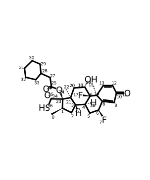 C[C@@H]1C[C@H]2[C@@H]3C[C@H](F)C4=CC(=O)C=C[C@]4(C)[C@@]3(F)[C@@H](O)C[C@]2(C)[C@@]1(OC(=O)CC1CCCCC1)C(=O)S